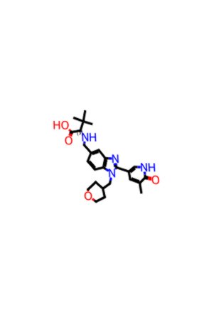 Cc1cc(-c2nc3cc(CN[C@H](C(=O)O)C(C)(C)C)ccc3n2CC2CCOCC2)c[nH]c1=O